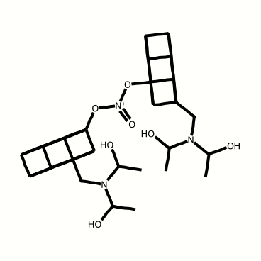 CC(O)N(CC12C3C4C5C3C1C5(O[N+](=O)OC13C5C6C7C5C1C7(CN(C(C)O)C(C)O)C63)C42)C(C)O